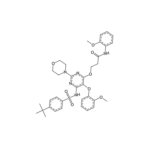 COc1ccccc1NC(=O)CCOc1nc(N2CCOCC2)nc(NS(=O)(=O)c2ccc(C(C)(C)C)cc2)c1Oc1ccccc1OC